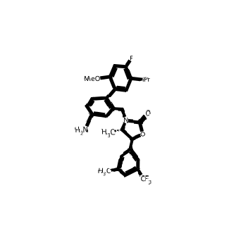 COc1cc(F)c(C(C)C)cc1-c1ccc(N)cc1CN1C(=O)OC(c2cc(C)cc(C(F)(F)F)c2)[C@@H]1C